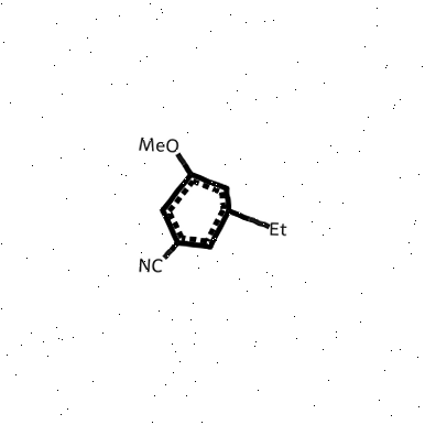 CCc1cc(C#N)cc(OC)c1